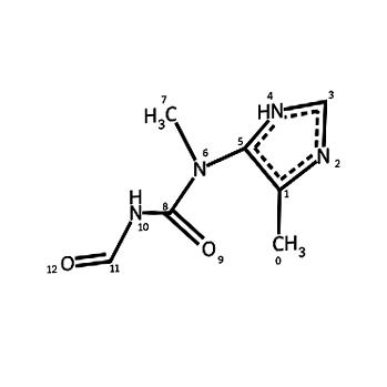 Cc1nc[nH]c1N(C)C(=O)NC=O